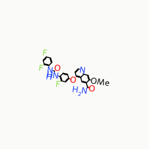 COc1cc2nccc(Oc3ccc(NC(=O)Nc4ccc(F)cc4F)c(F)c3)c2cc1C(N)=O